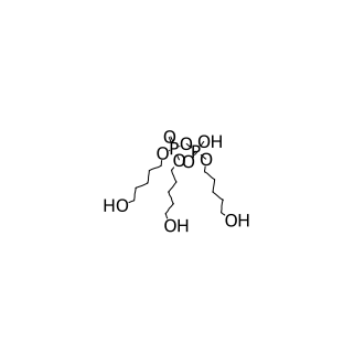 O=P(O)(OCCCCCO)OP(=O)(OCCCCCO)OCCCCCO